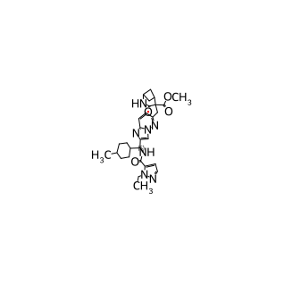 CCn1nccc1C(=O)N[C@H](c1cn2nc(CC3(C(=O)OC)C(=O)NC4CC3C4)ccc2n1)C1CCC(C)CC1